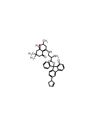 CC(C)CC(NCC(N)C(=O)OC1(c2ccccc2)c2ccc(C3C=CCC3)cc2-c2cccc(Cl)c21)=C1C(=O)CC(C)(C)CC1=O